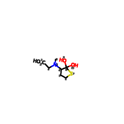 CN(CC(=O)O)C1CCSC1(O)O